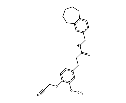 C#CCOc1ccc(CCC(=O)NCc2ccc3c(c2)CCCCC3)cc1OC